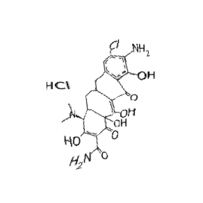 CN(C)[C@@H]1C(O)=C(C(N)=O)C(=O)C2(O)C(O)=C3C(=O)c4c(cc(Cl)c(N)c4O)CC3CC12.Cl